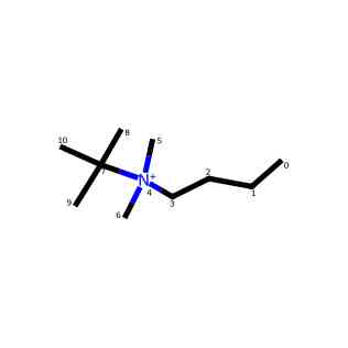 CCCC[N+](C)(C)C(C)(C)C